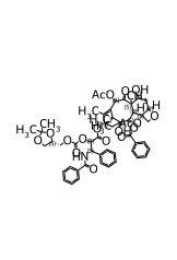 CC(=O)O[C@H]1C(=O)[C@@]2(C)[C@H]([C@H](OC(=O)c3ccccc3)[C@]3(O)C[C@H](OC(=O)[C@H](OC(=O)OC[C@@H]4COC(C)(C)O4)[C@@H](NC(=O)c4ccccc4)c4ccccc4)C(C)=C1C3(C)C)[C@]1(OC(C)=O)CO[C@@H]1C[C@@H]2O